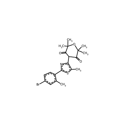 Cc1cc(Br)ccc1-c1nc(C2C(=O)C(C)(C)OC(C)(C)C2=O)c(C)s1